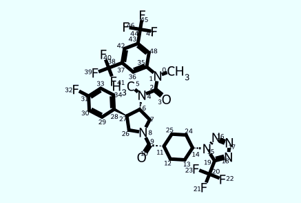 CN(C(=O)N(C)[C@@H]1CN(C(=O)[C@H]2CC[C@@H](n3nnnc3C(F)(F)F)CC2)C[C@H]1c1ccc(F)cc1)c1cc(C(F)(F)F)cc(C(F)(F)F)c1